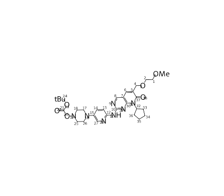 COCCOCc1cc2cnc(Nc3ccc(N4CCN(OC(=O)OC(C)(C)C)CC4)cn3)nc2n(C2CCCC2)c1=O